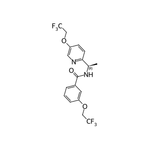 C[C@@H](NC(=O)c1cccc(OCC(F)(F)F)c1)c1ccc(OCC(F)(F)F)cn1